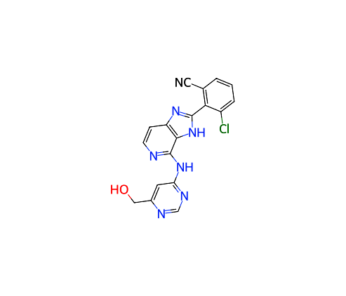 N#Cc1cccc(Cl)c1-c1nc2ccnc(Nc3cc(CO)ncn3)c2[nH]1